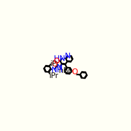 CCCCN(C(=O)Nc1c(C(C)C)cccc1C(C)C)c1c(-c2cccc(OCc3ccccc3)c2)c2cccnc2[nH]c1=O